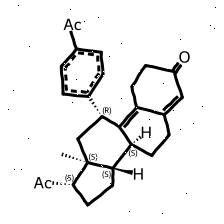 CC(=O)c1ccc([C@H]2C[C@]3(C)[C@@H](C(C)=O)CC[C@H]3[C@@H]3CCC4=CC(=O)CCC4=C32)cc1